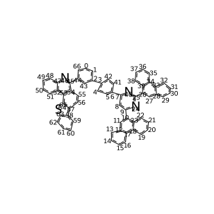 c1cc(-c2ccc(-c3cc(-c4cc5ccccc5c5ccccc45)nc(-c4cc5ccccc5c5ccccc45)n3)cc2)cc(-c2nc3ccccc3c3c2ccc2c4ccccc4sc23)c1